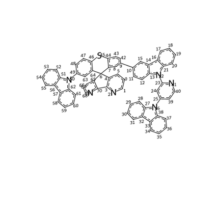 c1cnc2c(c1)C1(c3cc(-c4ccc5c(c4)c4ccccc4n5-c4cc(-n5c6ccccc6c6ccccc65)ccn4)ccc3Sc3ccc(-n4c5ccccc5c5ccccc54)cc31)c1cccnc1-2